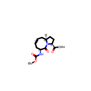 COC(=O)[C@@H]1CC[C@@H]2C/C=C\C[C@H](NC(=O)OC(C)(C)C)C(=O)N21